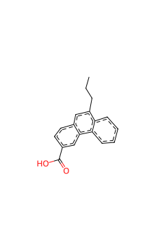 CCCc1cc2ccc(C(=O)O)cc2c2ccccc12